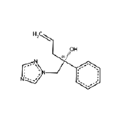 C=CC[C@](O)(Cn1cncn1)c1ccccc1